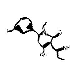 CCC(=N)c1c(O)cc(-c2cccc(F)c2)n(C)c1=O